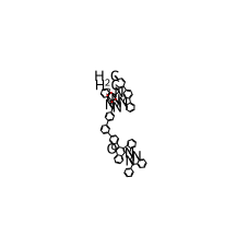 C=C/C=C\c1c(C)n(-c2ccccc2)c2c1ccc1c3ccccc3n(-c3nc(-c4ccccc4)nc(-c4ccc(-c5cccc(-c6ccc7c(c6)oc6c8ccccc8c8c(c9ccccc9n8-c8nc(-c9ccccc9)c9ccccc9n8)c76)c5)cc4)n3)c12